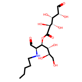 CCCCCN[C@@H](C=O)[C@@H](OC(=O)[C@@H](O)[C@@H](O)[C@H](O)[C@@H](O)C=O)[C@H](O)[C@H](O)CO